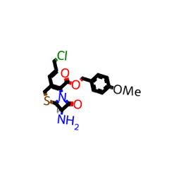 COc1ccc(COC(=O)C2=C(C=CCCl)CSC3[C@H](N)C(=O)N23)cc1